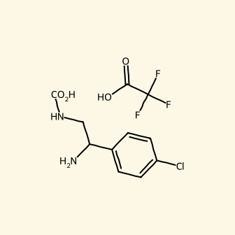 NC(CNC(=O)O)c1ccc(Cl)cc1.O=C(O)C(F)(F)F